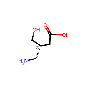 NC[C@H](CO)CC(=O)O